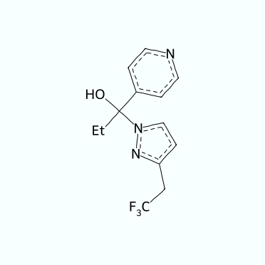 CCC(O)(c1ccncc1)n1ccc(CC(F)(F)F)n1